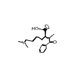 CC(C(=O)c1ccccc1)C(CCCCN(C)C)C(=O)O